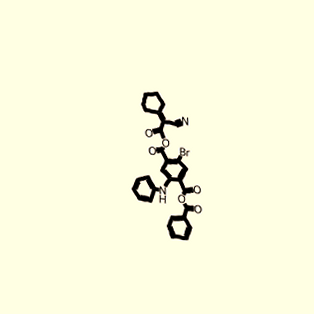 N#CC(C(=O)OC(=O)c1cc(Nc2ccccc2)c(C(=O)OC(=O)c2ccccc2)cc1Br)=C1CCCCC1